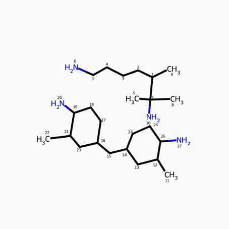 CC(CCCCN)C(C)(C)N.CC1CC(CC2CCC(N)C(C)C2)CCC1N